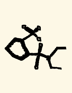 CCN(CC)S(=O)(=O)c1ccccc1S(=O)(=O)Cl